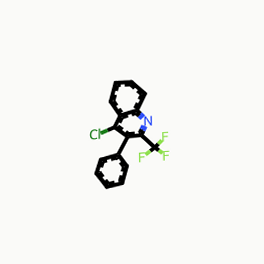 FC(F)(F)c1nc2ccccc2c(Cl)c1-c1ccccc1